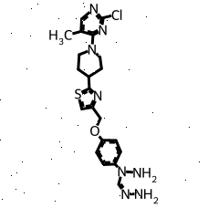 Cc1cnc(Cl)nc1N1CCC(c2nc(COc3ccc(N(N)/C=N\N)cc3)cs2)CC1